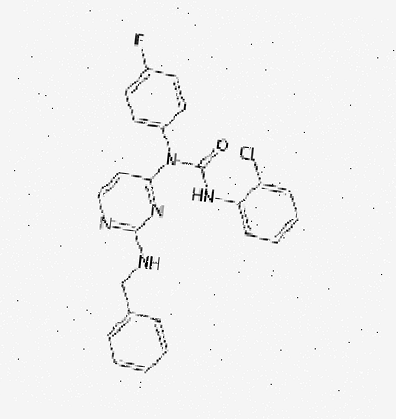 O=C(Nc1ccccc1Cl)N(c1ccc(F)cc1)c1ccnc(NCc2ccccc2)n1